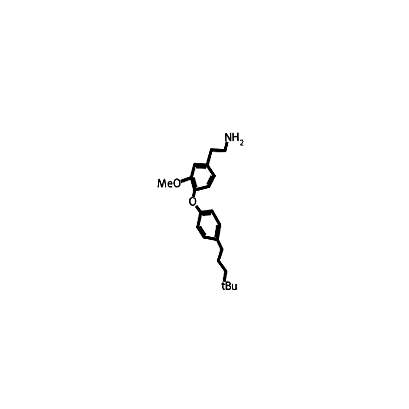 COc1cc(CCN)ccc1Oc1ccc(CCCC(C)(C)C)cc1